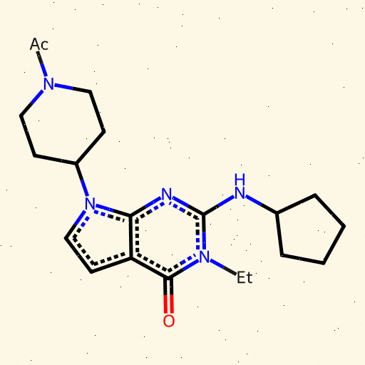 CCn1c(NC2CCCC2)nc2c(ccn2C2CCN(C(C)=O)CC2)c1=O